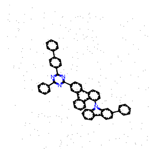 c1ccc(-c2ccc(-c3nc(-c4ccccc4)nc(-c4ccc5c(c4)c4ccccc4c4c(-n6c7ccccc7c7ccc(-c8ccccc8)cc76)cccc54)n3)cc2)cc1